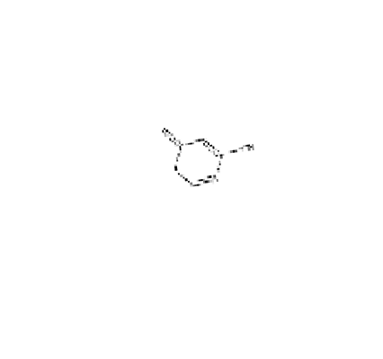 C=C1C=C(C#N)N=CC1